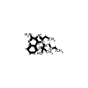 CCOC[C@@H](n1c(CC)nc2c(N)nc3ccccc3c21)C(C)(C)O